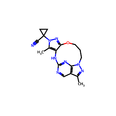 Cc1nn2c3nc(ncc13)Nc1c(nn(C3(C#N)CC3)c1C)OCCC2